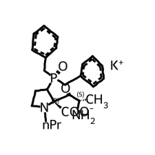 CCCN1CCC(P(=O)(Cc2ccccc2)Cc2ccccc2)[C@]1(C(=O)[O-])C(=O)[C@H](C)N.[K+]